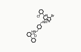 O=C(NCc1ccc(CNc2cc(-c3ccccc3Cl)nc3c(Br)cnn23)cc1)c1ccccc1-c1ccccc1